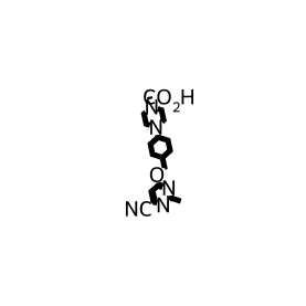 Cc1nc(C#N)cc(OCC2CCC(N3CCN(C(=O)O)CC3)CC2)n1